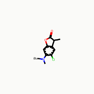 CCC(C)N(C)c1cc2c(cc1Cl)C(C)C(=O)O2